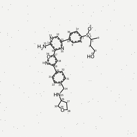 CC(CCO)[S+]([O-])c1ccc(-c2cnc(N)c(-c3cc(-c4ccc(CNC5CCOC5)cc4)no3)n2)cc1